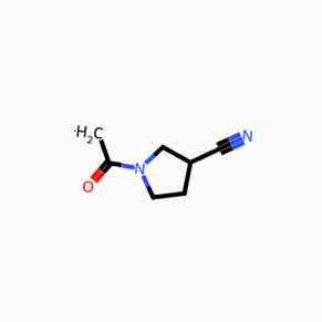 [CH2]C(=O)N1CCC(C#N)C1